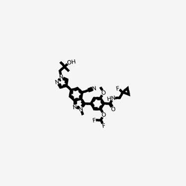 COc1cc(-c2c3c(C#N)cc(-c4cnn(CC(C)(C)O)c4)cc3nn2C)cc(OC(F)F)c1C(=O)NCC1(F)CC1